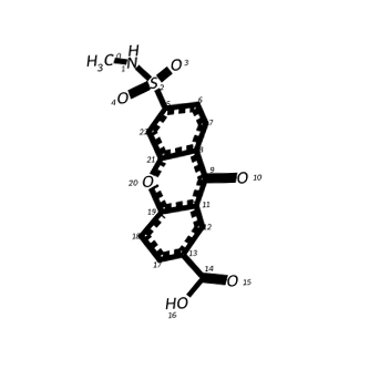 CNS(=O)(=O)c1ccc2c(=O)c3cc(C(=O)O)ccc3oc2c1